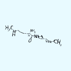 CNCCNC(=O)[C@@H](N)CCNC